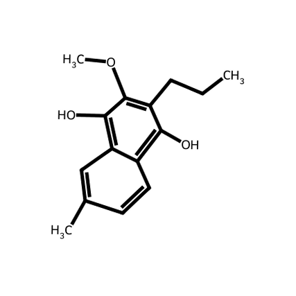 CCCc1c(OC)c(O)c2cc(C)ccc2c1O